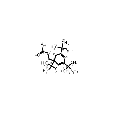 CC(C)(C)C1=CC(COC(=O)O)(C(C)(C)C)CC(C(C)(C)C)=C1